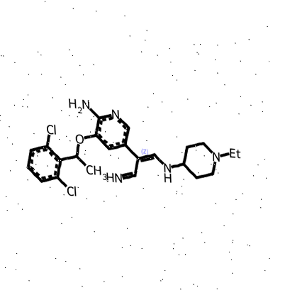 CCN1CCC(N/C=C(\C=N)c2cnc(N)c(OC(C)c3c(Cl)cccc3Cl)c2)CC1